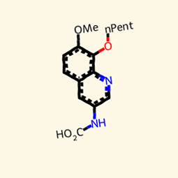 CCCCCOc1c(OC)ccc2cc(NC(=O)O)cnc12